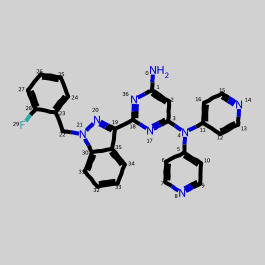 Nc1cc(N(c2ccncc2)c2ccncc2)nc(-c2nn(Cc3ccccc3F)c3ccccc23)n1